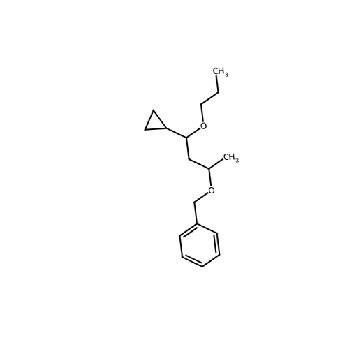 CCCOC(CC(C)OCc1ccccc1)C1CC1